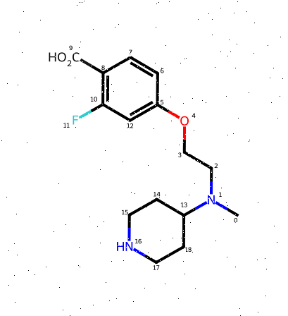 CN(CCOc1ccc(C(=O)O)c(F)c1)C1CCNCC1